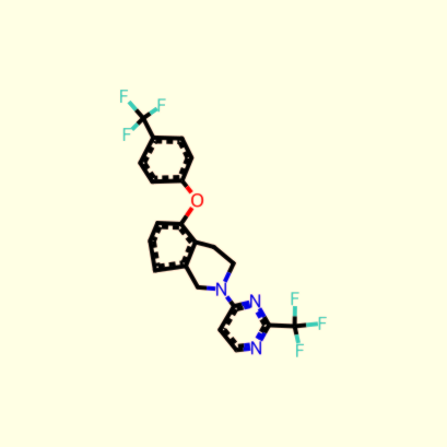 FC(F)(F)c1ccc(Oc2cccc3c2CCN(c2ccnc(C(F)(F)F)n2)C3)cc1